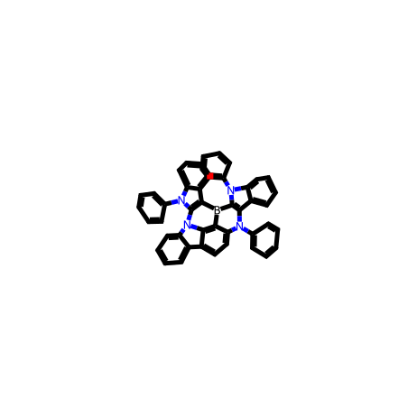 c1ccc(N2c3ccc4c5ccccc5n5c4c3B(c3c-5n(-c4ccccc4)c4ccccc34)c3c2c2ccccc2n3-c2ccccc2)cc1